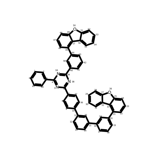 c1ccc(-c2nc(-c3ccc(-c4cccc(-c5cccc(-c6cccc7oc8ccccc8c67)c5)c4)cc3)nc(-c3cccc(-c4cccc5oc6ccccc6c45)c3)n2)cc1